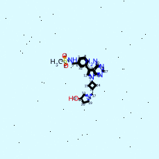 CS(=O)(=O)NCc1cccc(-c2cn([C@H]3C[C@@H](CN4CC[C@@H](O)C4)C3)c3ncnc(N)c23)c1